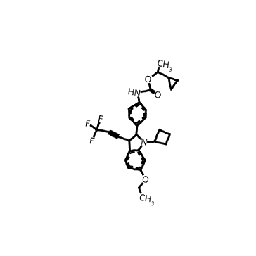 CCOc1ccc2c(c1)N(C1CCC1)C(c1ccc(NC(=O)OC(C)C3CC3)cc1)C2C#CC(F)(F)F